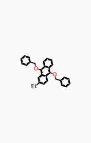 CCc1ccc2c(OCc3ccccc3)c3ccccc3c(OCc3ccccc3)c2c1